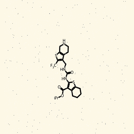 CC(C)OC(=O)c1c(NC(=O)NCc2c(C(F)(F)F)sc3c2CCNC3)sc2c1CCCC2